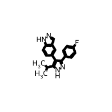 CC(C)c1[nH]nc(-c2ccc(F)cc2)c1-c1ccc2[nH]ncc2c1